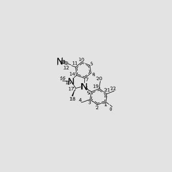 Cc1cc(C)c(N2c3cccc(C#N)c3N(C)[C@@H]2C)c(C)c1C